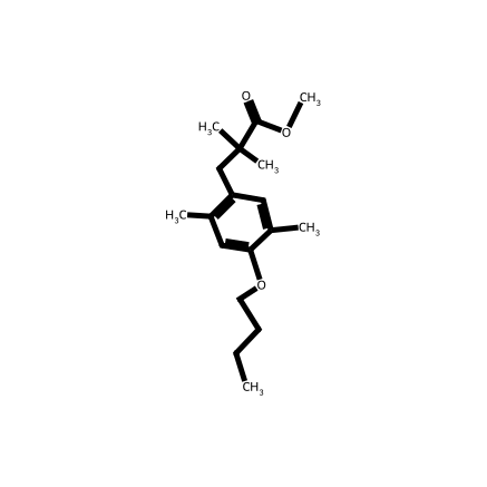 CCCCOc1cc(C)c(CC(C)(C)C(=O)OC)cc1C